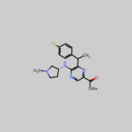 COC(=O)c1cnc(N[C@@H]2CCN(C)C2)c(C(C)c2ccc(F)cc2)n1